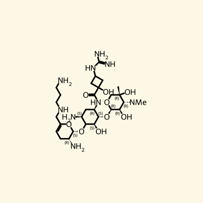 CN[C@@H]1[C@@H](O)[C@@H](O[C@H]2[C@H](NC(=O)C3(O)CC(NC(=N)N)C3)C[C@H](N)C(O[C@H]3OC(CNCCCN)=CC[C@H]3N)[C@@H]2O)OC[C@]1(C)O